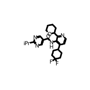 CC(C)c1ncc(C(=O)Nc2c(C3CCC(F)(F)CC3)ccnc2C2CCCCO2)cn1